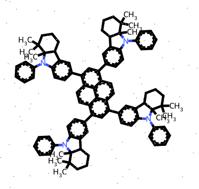 CC1(C)CCCC2c3cc(-c4cc(-c5ccc6c(c5)C5CCCC(C)(C)C5(C)N6c5ccccc5)c5ccc6c(-c7ccc8c(c7)C7CCCC(C)(C)C7(C)N8c7ccccc7)cc(-c7ccc8c(c7)C7CCCC(C)(C)C7(C)N8c7ccccc7)c7ccc4c5c76)ccc3N(c3ccccc3)C21C